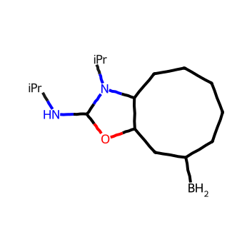 BC1CCCCCC2C(C1)OC(NC(C)C)N2C(C)C